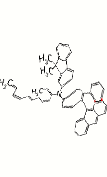 C=C/C=C\C=C\C/C=C\C(=C/C)N(c1ccc(-c2c3ccccc3cc3ccccc23)c(-c2ccccc2)c1)c1ccc2c(c1)C(C)(C)c1ccccc1-2